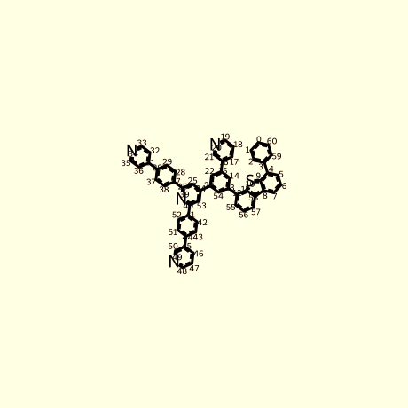 c1ccc(-c2cccc3c2sc2c(-c4cc(-c5cccnc5)cc(-c5cc(-c6ccc(-c7ccncc7)cc6)nc(-c6ccc(-c7cccnc7)cc6)c5)c4)cccc23)cc1